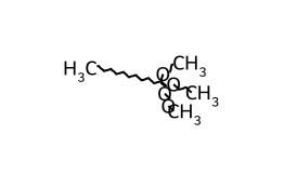 CCCCCCCCCCCC(OCCC)=C(OCCC)OCOC